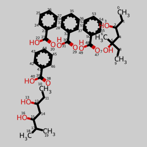 CCC(O)CC(C)(O)CC.CCC(O)CC(O)C(C)C.O=C(O)c1ccccc1.O=C(O)c1ccccc1.O=C(O)c1ccccc1.O=C(O)c1ccccc1